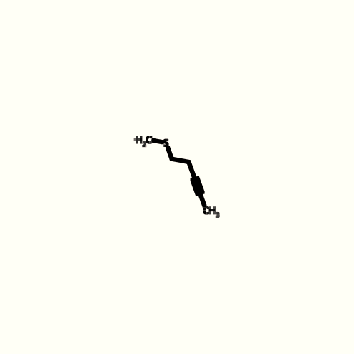 [CH2]SCCC#CC